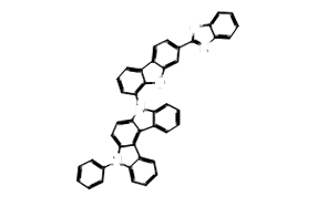 c1ccc(-n2c3ccccc3c3c4c5ccccc5n(-c5cccc6c5oc5cc(-c7nc8ccccc8o7)ccc56)c4ccc32)cc1